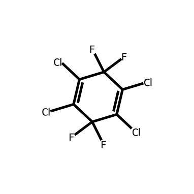 FC1(F)C(Cl)=C(Cl)C(F)(F)C(Cl)=C1Cl